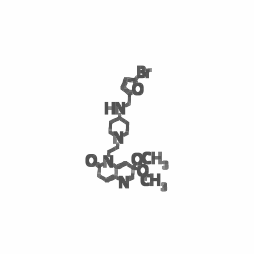 COC1(OC)C=NC2=CCC(=O)N(CCN3CCC(NCc4ccc(Br)o4)CC3)C2=C1